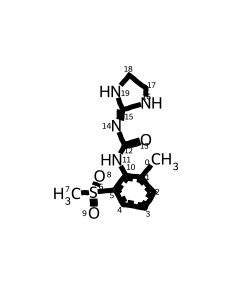 Cc1cccc(S(C)(=O)=O)c1NC(=O)N=C1NCCN1